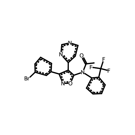 CC(=O)N(c1ccccc1C(F)(F)F)c1onc(-c2cccc(Br)c2)c1-c1ccncn1